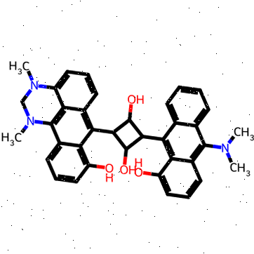 CN(C)c1c2ccccc2c(C2C(O)C(c3c4cccc5c4c(c4cccc(O)c34)N(C)CN5C)C2O)c2c(O)cccc12